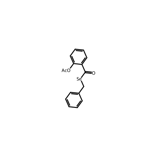 CC(=O)Oc1ccccc1C(=O)[Se]Cc1ccccc1